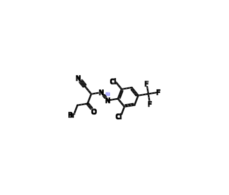 N#CC(/N=N/c1c(Cl)cc(C(F)(F)F)cc1Cl)C(=O)CBr